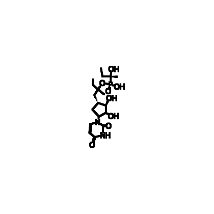 CCC(C)(C[C@H]1C[C@@H](n2ccc(=O)[nH]c2=O)[C@H](O)[C@@H]1O)OP(=O)(O)[C@@](C)(O)CC